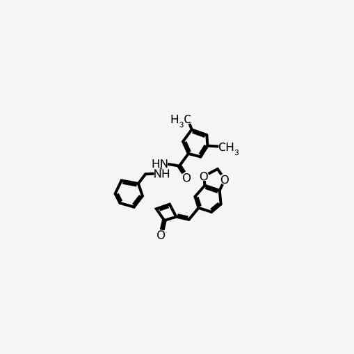 Cc1cc(C)cc(C(=O)NNCc2ccccc2)c1.O=C1C=CC1=Cc1ccc2c(c1)OCO2